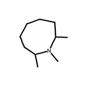 CC1CCCCCC(C)N1C